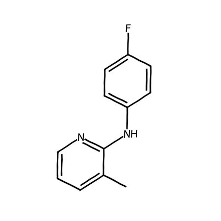 Cc1cccnc1Nc1ccc(F)cc1